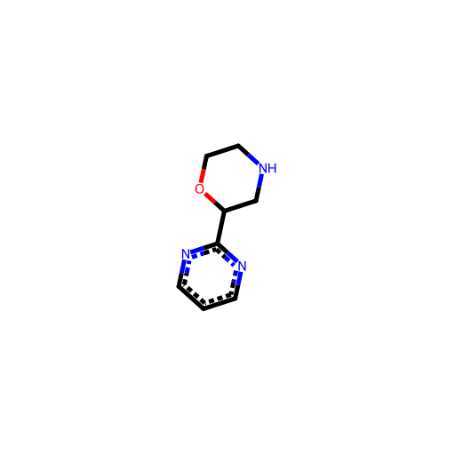 c1cnc(C2CNCCO2)nc1